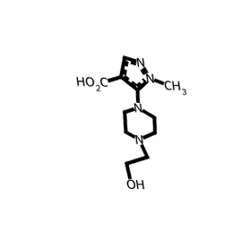 Cn1ncc(C(=O)O)c1N1CCN(CCO)CC1